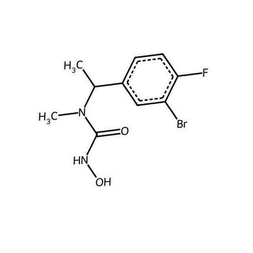 CC(c1ccc(F)c(Br)c1)N(C)C(=O)NO